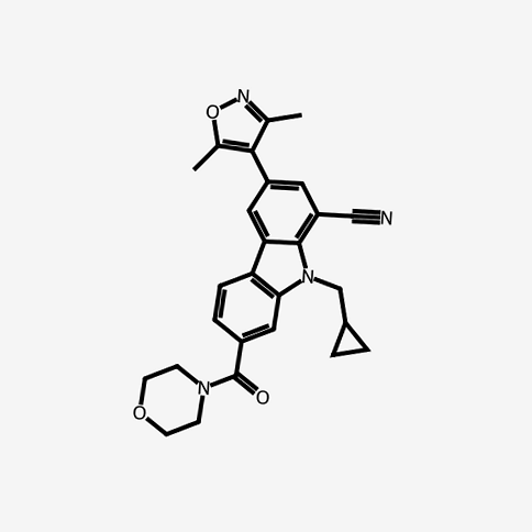 Cc1noc(C)c1-c1cc(C#N)c2c(c1)c1ccc(C(=O)N3CCOCC3)cc1n2CC1CC1